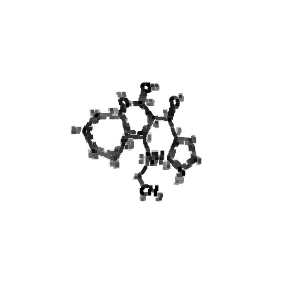 CCNc1c(C(=O)c2ccsc2)c(=O)oc2ccccc12